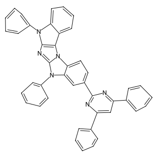 c1ccc(-c2cc(-c3ccccc3)nc(-c3ccc4c(c3)n(-c3ccccc3)c3nc5c(c6ccccc6n5-c5ccccc5)n43)n2)cc1